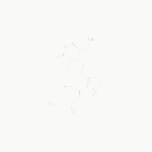 C=C(/C(F)=C(/Cl)CC)c1[nH]ncc1-c1ccc2c(=O)[nH]nc(CN)c2c1